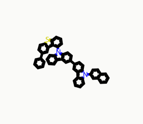 c1ccc(-c2ccc3sc4cccc(-n5c6ccccc6c6cc(-c7ccc8c(c7)c7ccccc7n8-c7ccc8ccccc8c7)ccc65)c4c3c2)cc1